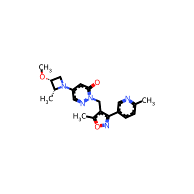 CO[C@@H]1CN(c2cnn(Cc3c(-c4ccc(C)nc4)noc3C)c(=O)c2)[C@@H]1C